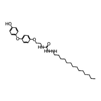 CCCCCCCCCCCCCCNNC(=O)NCCOc1ccc(Oc2ccc(O)cc2)cc1